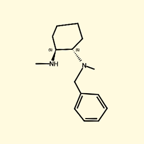 CN[C@H]1CCCC[C@@H]1N(C)Cc1ccccc1